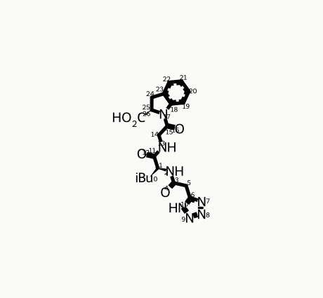 CC[C@H](C)[C@H](NC(=O)Cc1nnn[nH]1)C(=O)NCC(=O)N1c2ccccc2C[C@H]1C(=O)O